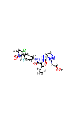 COCCn1nccc1C(=O)NC(C(=O)Nc1ccc(-c2c(Cl)cc[n+]([O-])c2C)c(F)c1)C1CCCCC1